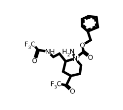 N[N+]1(C(=O)OCc2ccccc2)CCC(C(=O)C(F)(F)F)CC1CCNC(=O)C(F)(F)F